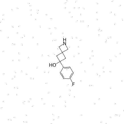 OC1(c2ccc(F)cc2)CC2(CNC2)C1